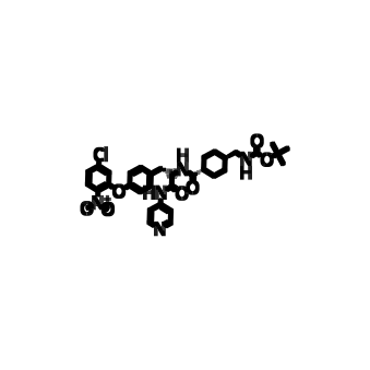 CC(C)(C)OC(=O)NC[C@H]1CC[C@H](C(=O)N[C@@H](Cc2ccc(Oc3cc(Cl)ccc3[N+](=O)[O-])cc2)C(=O)Nc2ccncc2)CC1